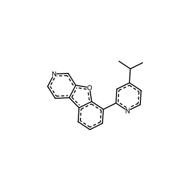 CC(C)c1ccnc(-c2cccc3c2oc2cnccc23)c1